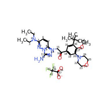 CCN(CC)c1ccc2n(n1)c(N)n[n+]2CC(=O)c1cc(N2CCOCC2)c(OC)c(C(C)(C)C)c1.O=C([O-])C(F)(F)F